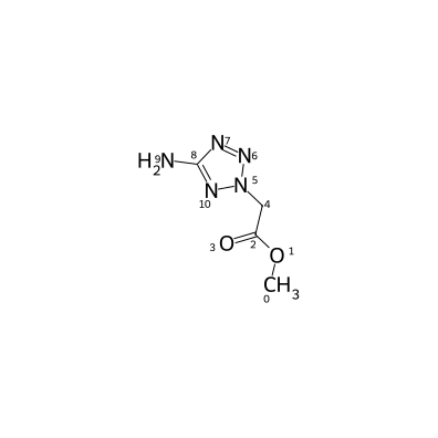 COC(=O)Cn1nnc(N)n1